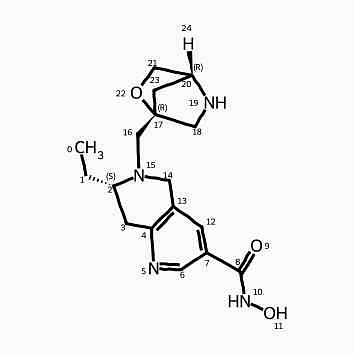 CC[C@H]1Cc2ncc(C(=O)NO)cc2CN1C[C@@]12CN[C@@H](CO1)C2